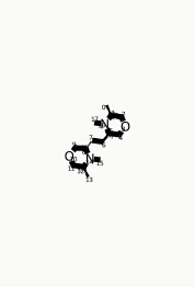 C[C@H]1COC[C@@H](CC[C@H]2COC[C@H](C)N2C)N1C